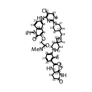 CNC(=O)COc1cc2cc(Nc3nc(N4CCC(CN5CC6(CCN(c7cccc(C(=O)NC8CCC(=O)NC8=O)c7F)CC6)C5)CC4)ncc3Cl)ccc2n(C(C)C)c1=O